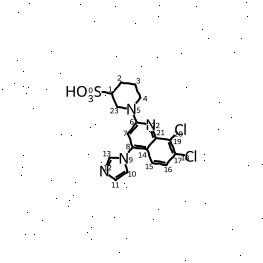 O=S(=O)(O)C1CCCN(c2cc(-n3ccnc3)c3ccc(Cl)c(Cl)c3n2)C1